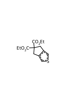 CCOC(=O)C1(C(=O)OCC)Cc2cscc2C1